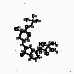 CC(C)(N)C(=O)Nc1nccc2c1CN(Cc1cnc(OCC(F)(F)F)c(Cl)c1)C2=O